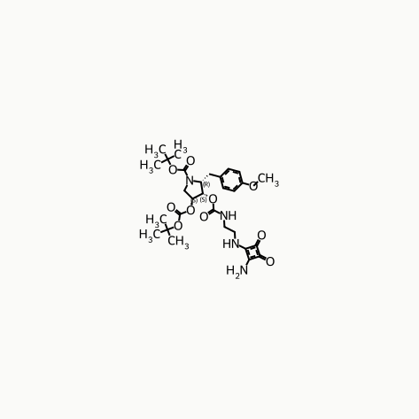 COc1ccc(C[C@@H]2[C@H](OC(=O)NCCNc3c(N)c(=O)c3=O)[C@@H](OC(=O)OC(C)(C)C)CN2C(=O)OC(C)(C)C)cc1